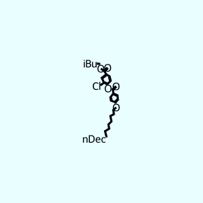 CCCCCCCCCCCCCCCCCCOc1ccc(C(=O)Oc2ccc(C(=O)OCC(C)CC)cc2Cl)cc1